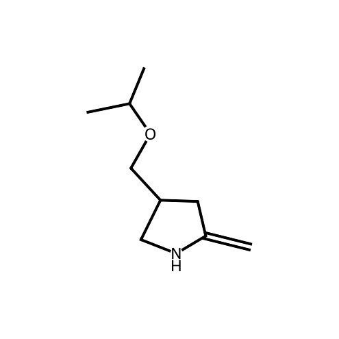 C=C1CC(COC(C)C)CN1